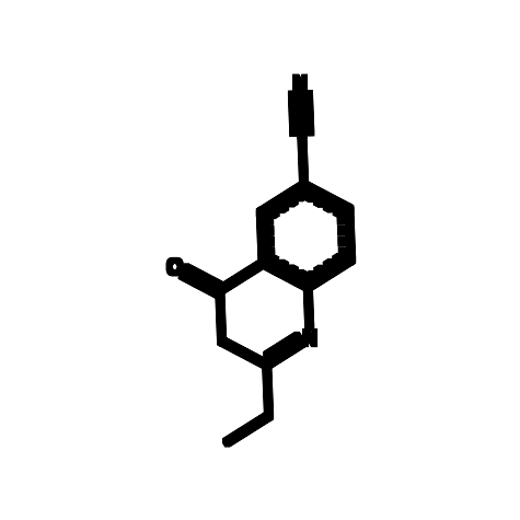 CCC1=Nc2ccc(C#N)cc2C(=O)C1